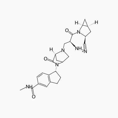 CNC(=O)c1ccc2c(c1)CC[C@H]2N1C(=O)[C@@H]2CC1CN2C[C@H](N)C(=O)N1[C@H](C#N)C[C@@H]2C[C@@H]21